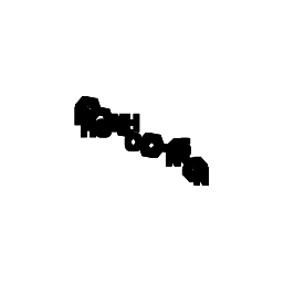 O[C@H](Cc1cccnc1)NCCOc1ccc(-c2csc(-c3ccncc3)n2)cc1